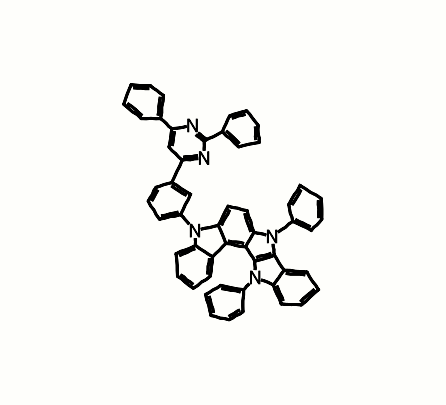 c1ccc(-c2cc(-c3cccc(-n4c5ccccc5c5c6c(ccc54)n(-c4ccccc4)c4c5ccccc5n(-c5ccccc5)c64)c3)nc(-c3ccccc3)n2)cc1